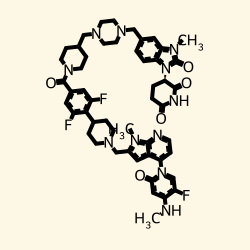 CNc1cc(=O)n(-c2ccnc3c2cc(CN2CCC(c4c(F)cc(C(=O)N5CCC(CN6CCN(Cc7ccc8c(c7)n(C)c(=O)n8[C@H]7CCC(=O)NC7=O)CC6)CC5)cc4F)CC2)n3C)cc1F